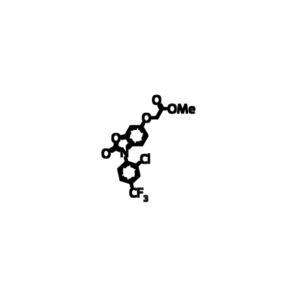 COC(=O)COc1ccc2c(c1)oc(=O)n2-c1ccc(C(F)(F)F)cc1Cl